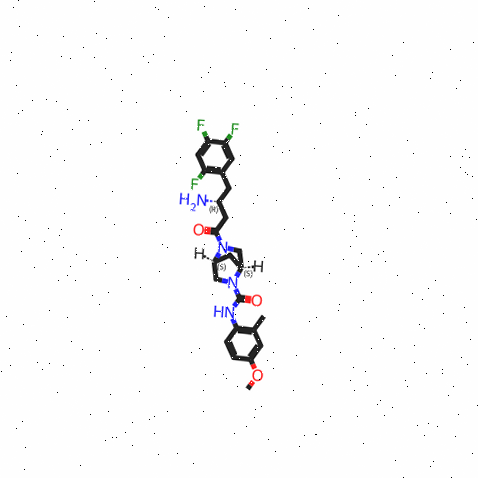 COc1ccc(NC(=O)N2C[C@@H]3C[C@H]2CN3C(=O)C[C@H](N)Cc2cc(F)c(F)cc2F)c(C)c1